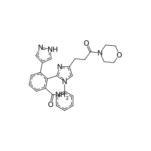 NC(=O)c1cccc(-c2cn[nH]c2)c1-c1nc(CCC(=O)N2CCOCC2)cn1-c1ccccc1